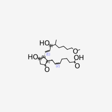 COCCCCC(C)[C@@H](O)/C=C/[C@H]1[C@H](O)CC(=O)[C@@H]1C/C=C\CCCC(=O)O